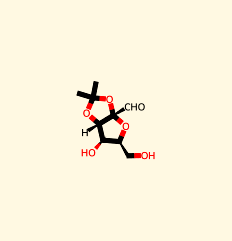 CC1(C)O[C@H]2[C@H](O)[C@H](CO)O[C@@]2(C=O)O1